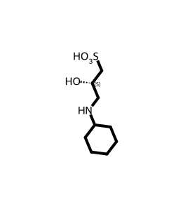 O=S(=O)(O)C[C@@H](O)CNC1CCCCC1